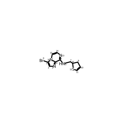 Brc1cnc2c(NCC3CC=CS3)nccn12